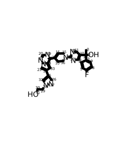 CC(O)(c1ccc(F)cc1)c1cnc(N2CC=C(c3ncnn4cc(-c5cnn(CCO)c5)cc34)CC2)nc1